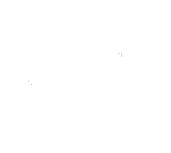 Clc1ccc(C2CC3CCNCCC(C3)C2)cn1